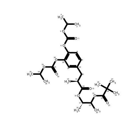 CC(C)OC(=O)Oc1ccc(C[C@H](N)C(=O)O[C@@H](C)C(C)OC(=O)C(C)(C)C)cc1OC(=O)OC(C)C